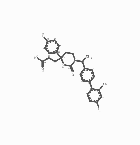 CC(c1ccc(-c2ccc(F)cc2F)cc1)N1CCC(CCC(=O)O)(c2ccc(F)cc2)OC1=O